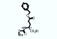 CCOC(=O)[C@H](CCC(=O)OCc1ccccc1)NC(=O)OC(C)(C)C